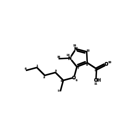 CCCCC(C)Oc1c(C(=O)O)cnn1C